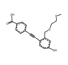 COCCOCc1cc(O)ccc1C#Cc1ccc(C(=O)O)cc1